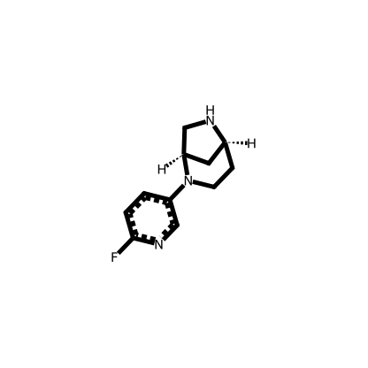 Fc1ccc(N2CC[C@H]3C[C@@H]2CN3)cn1